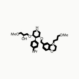 CCCc1ccc([C@@H]2[C@@H](OCc3ccc4c(c3)N(CCCOC)CCO4)CNC[C@H]2OC[C@H](O)COC)cc1